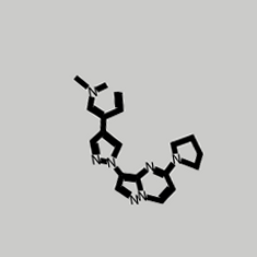 C=C/C(=C\N(C)C)c1cnn(-c2cnn3ccc(N4CCCC4)nc23)c1